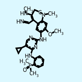 CNC1=C(C=N)c2cc(Nc3ncc(C4CC4)c(Nc4ccccc4P(C)(C)=O)n3)c(OC)cc2N(C)CC1